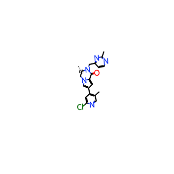 Cc1nccc(CN2C(=O)c3cc(-c4cc(Cl)ncc4C)cn3C[C@@H]2C)n1